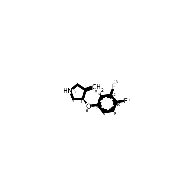 C=C1CNC[C@@H]1Oc1ccc(F)c(F)c1